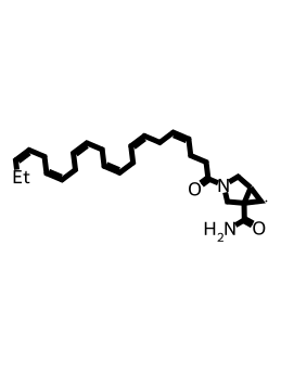 CC/C=C\C/C=C\C/C=C\C/C=C\C/C=C\C/C=C\CCC(=O)N1CC2[CH]C2(C(N)=O)C1